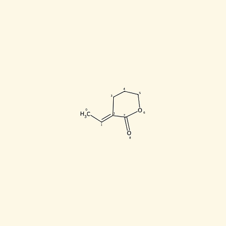 CC=C1CCCOC1=O